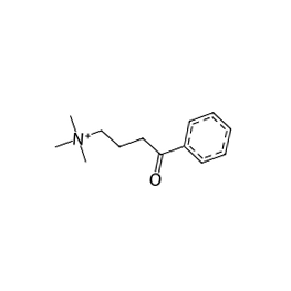 C[N+](C)(C)CCCC(=O)c1ccccc1